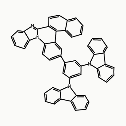 c1ccc2c(c1)ccc1c2c2cc(-c3cc(-n4c5ccccc5c5ccccc54)cc(-n4c5ccccc5c5ccccc54)c3)ccc2n2c3ccccc3nc12